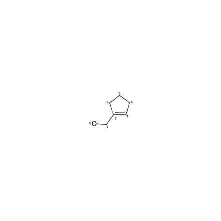 [O]CC1=CCCC1